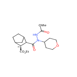 CCOC(=O)[C@H]1C2CCC(C2)C1C(=O)N(NC(=O)OC)C1CCOCC1